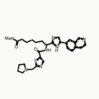 CNC(=O)CCCCCC(NC(=O)c1cnc(CN2CCCC2)s1)c1ncc(-c2ccc3ccncc3c2)[nH]1